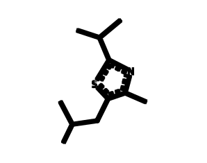 Cc1nc(C(C)C)sc1CC(C)C